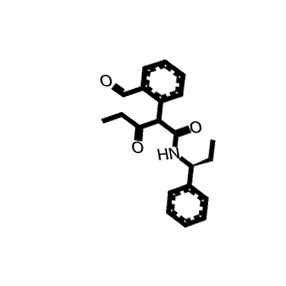 CCC(=O)C(C(=O)N[C@@H](CC)c1ccccc1)c1ccccc1C=O